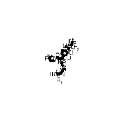 CC(NS(=O)(=O)c1ccc(-c2sc(-c3nnc(CC(C)(C)O)o3)nc2C(=O)N2CCC(F)(F)C2)c(Cl)c1Cl)C(F)(F)F